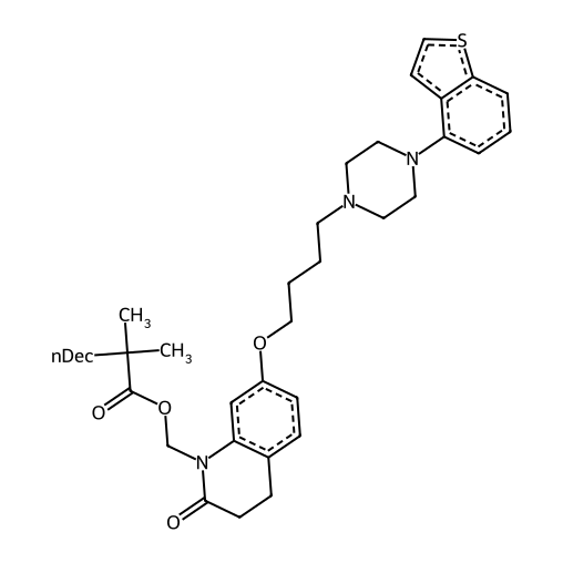 CCCCCCCCCCC(C)(C)C(=O)OCN1C(=O)CCc2ccc(OCCCCN3CCN(c4cccc5sccc45)CC3)cc21